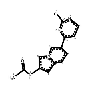 CC(=O)Nc1cc2ccc(-c3ccnc(Cl)n3)cn2c1